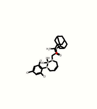 NC(=O)C12CC3CC(C1)C(NC(=O)CN1CC=CCN(c4c(Cl)cc(Cl)cc4Cl)S1(O)O)C(C3)C2